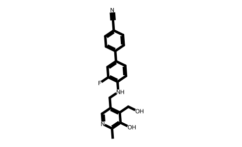 Cc1ncc(CNc2ccc(-c3ccc(C#N)cc3)cc2F)c(CO)c1O